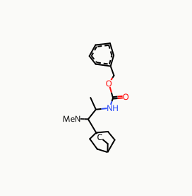 CNC(C(C)NC(=O)OCc1ccccc1)C12CCC(CC1)CC2